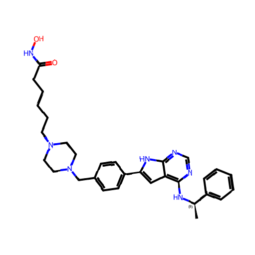 C[C@@H](Nc1ncnc2[nH]c(-c3ccc(CN4CCN(CCCCCC(=O)NO)CC4)cc3)cc12)c1ccccc1